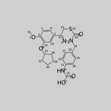 COc1ccc(C2=NN(Cc3ccc(NC(=O)O)cc3)C(=O)SC2)cc1OC1CCCC1